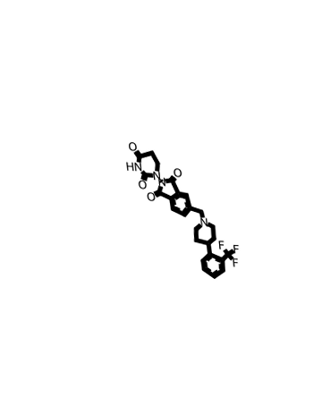 O=C1CCN(N2C(=O)c3ccc(CN4CCC(c5ccccc5C(F)(F)F)CC4)cc3C2=O)C(=O)N1